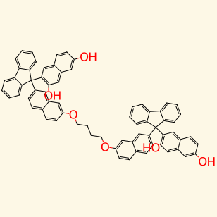 Oc1ccc2cc(C3(c4ccc5ccc(OCCCCOc6ccc7ccc(C8(c9cc%10ccc(O)cc%10cc9O)c9ccccc9-c9ccccc98)cc7c6)cc5c4)c4ccccc4-c4ccccc43)c(O)cc2c1